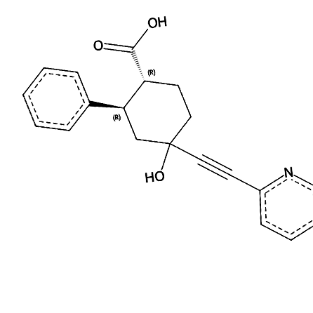 O=C(O)[C@@H]1CCC(O)(C#Cc2cccnn2)C[C@H]1c1ccccc1